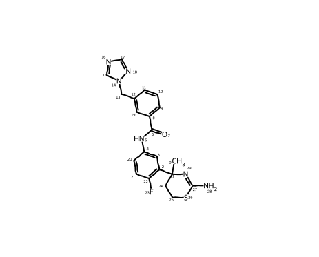 CC1(c2cc(NC(=O)c3cccc(Cn4cncn4)c3)ccc2F)CCSC(N)=N1